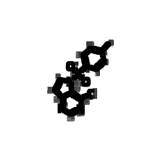 Cc1ccc(S(=O)(=O)n2ccc3ncnc(Cl)c32)cc1